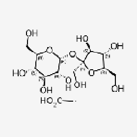 OC[C@H]1O[C@@](CO)(O[C@H]2O[C@H](CO)[C@@H](O)[C@H](O)[C@H]2O)[C@@H](O)[C@@H]1O.[CH2]C(=O)O